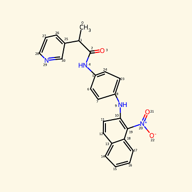 CC(C(=O)Nc1ccc(Nc2ccc3ccccc3c2[N+](=O)[O-])cc1)c1cccnc1